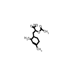 CC(=O)OC(CC1CCC(C)=CC1C)C(=O)O